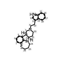 c1cc2c3c(c1)[C@H]1CN(CCc4c[nH]c5ccccc45)CC[C@H]1N3CCCS2